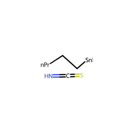 CCCC[CH2][Sn].N=C=S